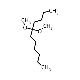 CCCCCCC(CCCC)(OC)OC